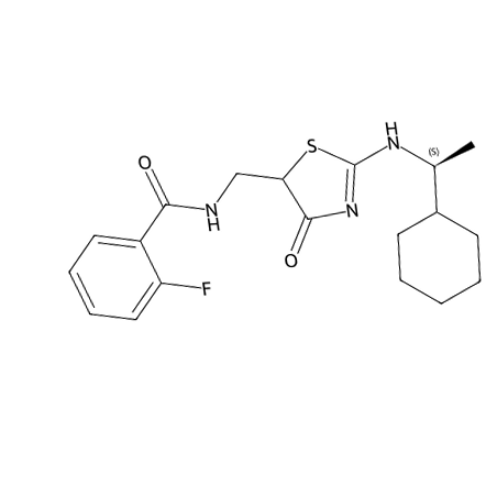 C[C@H](NC1=NC(=O)C(CNC(=O)c2ccccc2F)S1)C1CCCCC1